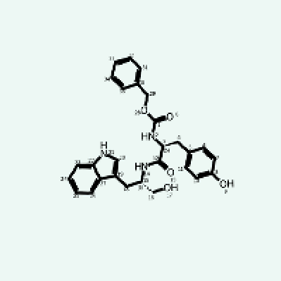 O=C(N[C@@H](Cc1ccc(O)cc1)C(=O)N[C@H](CO)Cc1c[nH]c2ccccc12)OCc1ccccc1